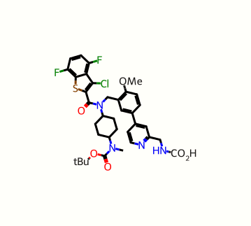 COc1ccc(-c2ccnc(CNC(=O)O)c2)cc1CN(C(=O)c1sc2c(F)ccc(F)c2c1Cl)C1CCC(N(C)C(=O)OC(C)(C)C)CC1